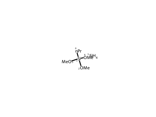 CCC[Si](OC)(OC)OC.[SiH4]